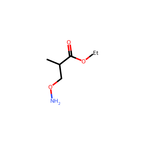 CCOC(=O)C(C)CON